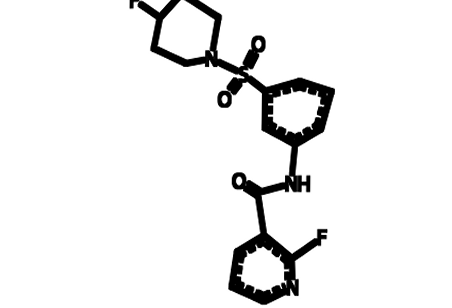 O=C(Nc1cccc(S(=O)(=O)N2CCC(F)CC2)c1)c1cccnc1F